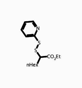 CCCCCCC(SSc1ccccn1)C(=O)OCC